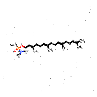 COP(=O)(OC/C=C(\C)CC/C=C(\C)CC/C=C(\C)CCC=C(C)C)N(C(C)C)C(C)C